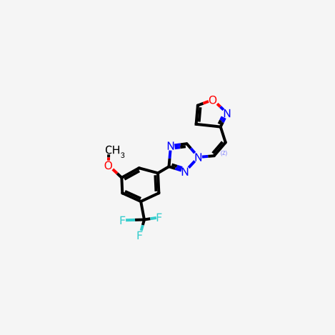 COc1cc(-c2ncn(/C=C\c3ccon3)n2)cc(C(F)(F)F)c1